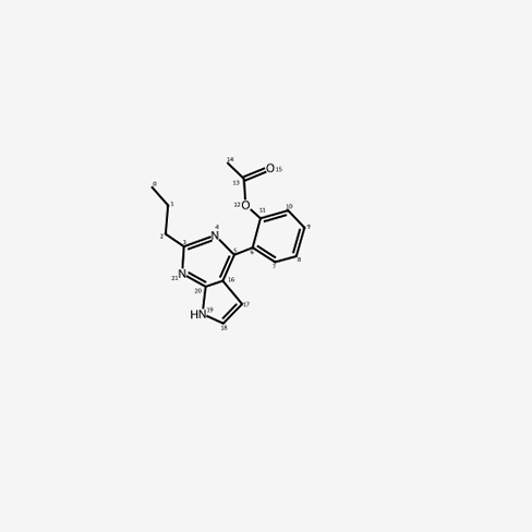 CCCc1nc(-c2ccccc2OC(C)=O)c2cc[nH]c2n1